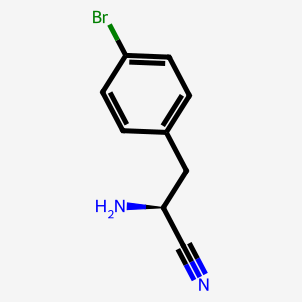 N#C[C@@H](N)Cc1ccc(Br)cc1